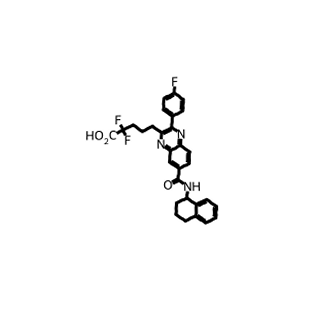 O=C(NC1CCCc2ccccc21)c1ccc2nc(-c3ccc(F)cc3)c(CCCC(F)(F)C(=O)O)nc2c1